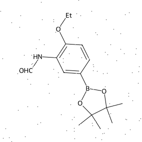 CCOc1ccc(B2OC(C)(C)C(C)(C)O2)cc1NC=O